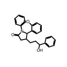 O=C1CC(CCC(O)c2ccccc2)C(c2ccccc2O)N1c1ccccc1